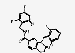 O=C(NCc1c(F)cc(F)cc1F)c1ccc2c(c1)N(Cc1c(F)cccc1Cl)C(=O)CS2